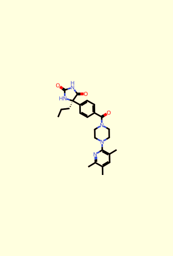 CCC[C@]1(c2ccc(C(=O)N3CCN(c4nc(C)c(C)cc4C)CC3)cc2)NC(=O)NC1=O